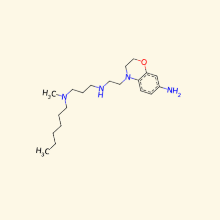 CCCCCCN(C)CCCNCCN1CCOc2cc(N)ccc21